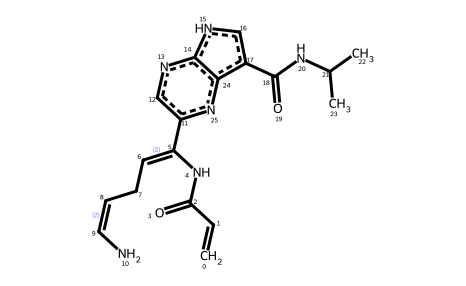 C=CC(=O)N/C(=C\C/C=C\N)c1cnc2[nH]cc(C(=O)NC(C)C)c2n1